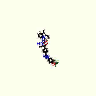 CCc1ccccc1N1CCCS/C1=N\C(=O)NC(C)C(C)c1ccc(-c2ncn(-c3ccc(OC(F)(F)F)cc3)n2)cc1